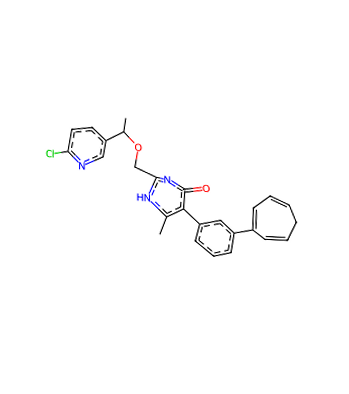 Cc1[nH]c(COC(C)c2ccc(Cl)nc2)nc(=O)c1-c1cccc(C2=CC=CCC=C2)c1